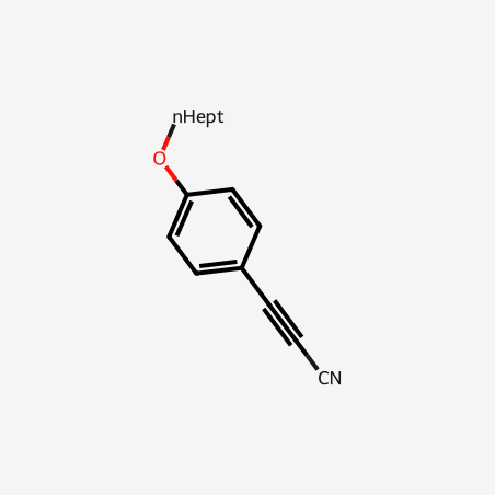 CCCCCCCOc1ccc(C#CC#N)cc1